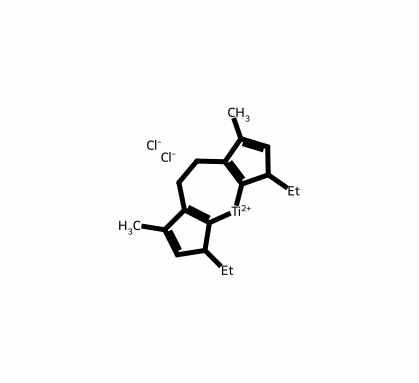 CCC1C=C(C)C2=[C]1[Ti+2][C]1=C(CC2)C(C)=CC1CC.[Cl-].[Cl-]